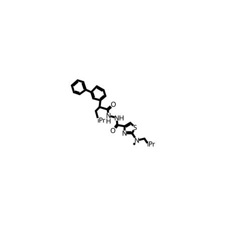 CC(C)CC(C(=O)NNC(=O)c1csc(N(C)CC(C)C)n1)c1cccc(-c2ccccc2)c1